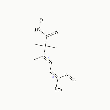 C=N/C(N)=C\C=C(/C)C(C)(C)C(=O)NCC